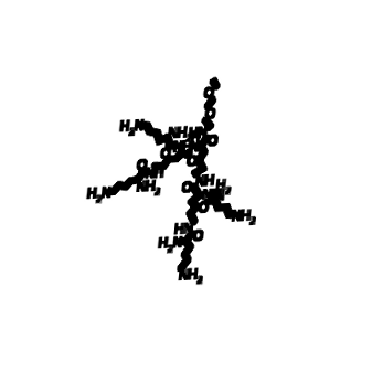 CCOCCOCCNC(=O)C(CCCCNC(=O)C(CCCCNC(=O)C(N)CCCCN)NC(=O)C(N)CCCN)NC(=O)C(CCCCNC(=O)C(N)CCCCN)NC(=O)C(N)CCCCN